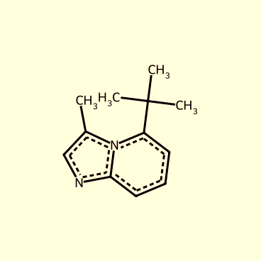 Cc1cnc2cccc(C(C)(C)C)n12